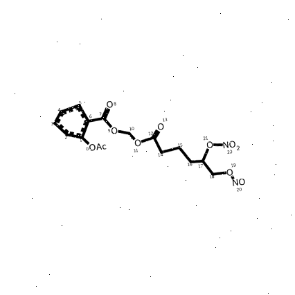 CC(=O)Oc1ccccc1C(=O)OCOC(=O)CCCC(CON=O)O[N+](=O)[O-]